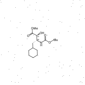 COC(=O)[C@@H](O)[C@@H](CC1CCCCC1)NC(=O)OC(C)(C)C